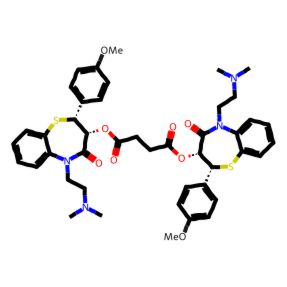 COc1ccc([C@H]2Sc3ccccc3N(CCN(C)C)C(=O)[C@H]2OC(=O)CCC(=O)O[C@@H]2C(=O)N(CCN(C)C)c3ccccc3S[C@@H]2c2ccc(OC)cc2)cc1